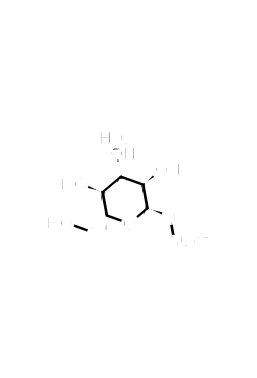 CCCCCCCCO[C@H]1O[C@H](CO)[C@@H](O)[C@H](O)[C@H]1O.O